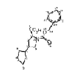 O=C(O)[C@@H]1CC(C2CCSC2)CN1C(=O)OCc1ccccc1